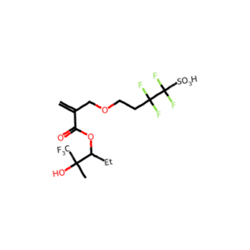 C=C(COCCC(F)(F)C(F)(F)S(=O)(=O)O)C(=O)OC(CC)C(C)(O)C(F)(F)F